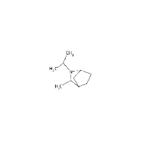 CC(C)N1C2CCC(C2)C1C